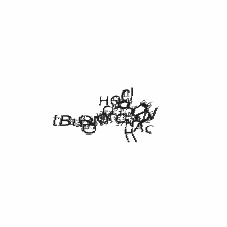 CC(=O)c1cnc2ccc(-c3cc(Cl)c(O)c(Cl)c3)cc2c1N[C@H]1CC[C@H](CN2CCN(C(=O)OC(C)(C)C)CC2)CC1